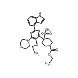 CCOC(=O)N1CCC(c2nc(-c3cccc4[nH]ccc34)nc(N3CCOCC3)c2OCC)(S(C)(=O)=O)CC1